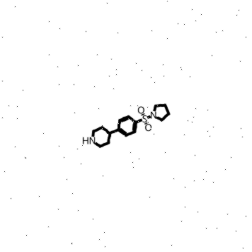 O=S(=O)(c1ccc(C2CCNCC2)cc1)N1CCCC1